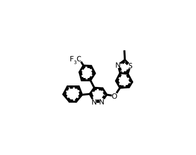 Cc1nc2cc(Oc3cc(-c4ccc(C(F)(F)F)cc4)c(-c4ccccc4)nn3)ccc2s1